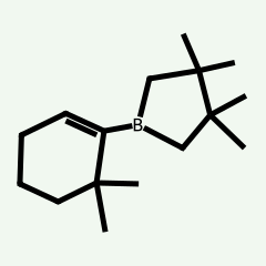 CC1(C)CCCC=C1B1CC(C)(C)C(C)(C)C1